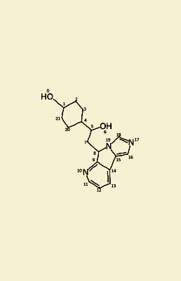 OC1CCC(C(O)CC2c3ncccc3-c3cncn32)CC1